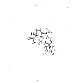 C[SiH2]OC(/C=C\CC1(C2=CC[C@H]3C(=O)CCC[C@@]23C)CC1)(C(F)(F)F)C(F)(F)F